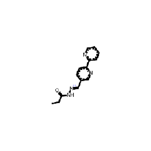 CCC(=O)N/N=C/c1ccc(-c2ccccn2)nc1